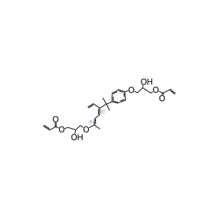 C=CC(=O)OCC(O)CO/C(C)=C/C=C(\C=C)C(C)(C)c1ccc(OCC(O)COC(=O)C=C)cc1